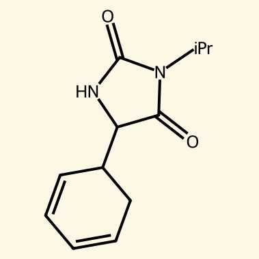 CC(C)N1C(=O)NC(C2C=CC=CC2)C1=O